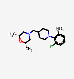 C[C@@H]1CN(CC2CCN(c3c(F)cccc3[N+](=O)[O-])CC2)C[C@H](C)O1